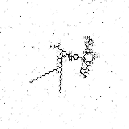 CCCCCCCCCCCCCC(=O)OC(CCCCCCCCCCC)CC(=O)N[C@H](C(=O)N[C@@H](CCCNC(N)=O)C(=O)Nc1ccc(CSP2(=O)OC[C@H]3O[C@@H](n4cnc5c(N)ncnc54)[C@H](F)[C@@H]3OP(=O)(O)OC[C@H]3O[C@@H](n4cnc5c(O)ncnc54)[C@H](F)[C@@H]32)cc1)C(C)C